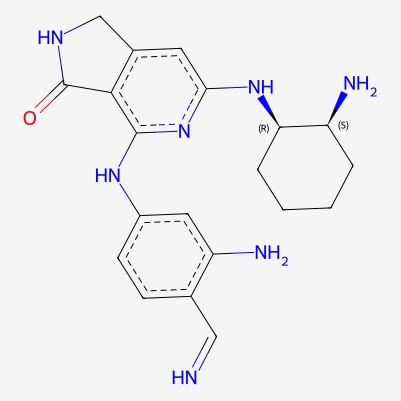 N=Cc1ccc(Nc2nc(N[C@@H]3CCCC[C@@H]3N)cc3c2C(=O)NC3)cc1N